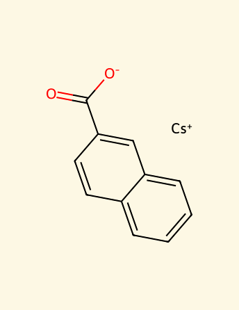 O=C([O-])c1ccc2ccccc2c1.[Cs+]